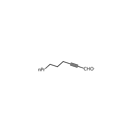 CCCCCCC#C[C]=O